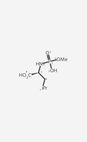 COP(=O)(O)N[C@@H](CC(C)C)C(=O)O